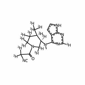 [2H]c1nc(N(C)[C@@]2([2H])C([2H])([2H])N(C(=O)C([2H])([2H])[N+]#[C-])C([2H])([2H])C([2H])([2H])[C@@]2([2H])C([2H])([2H])[2H])c2cc[nH]c2n1